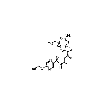 C#CCOc1cnc(C(=O)N/C(C)=C/C(F)=C(/F)C(=C)[C@@]2(C)N=C(N)S[C@@]3(COC)C[C@H]32)cn1